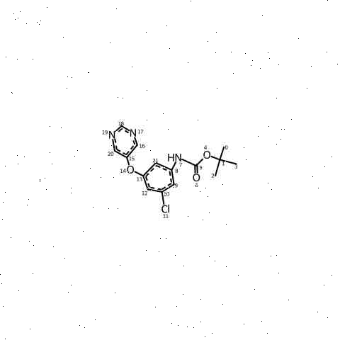 CC(C)(C)OC(=O)Nc1cc(Cl)cc(Oc2cncnc2)c1